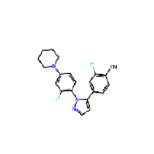 N#Cc1ccc(-c2ccnn2-c2ccc(N3CCCCC3)cc2F)cc1F